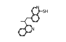 CC(Cc1cccc2c(S)nccc12)c1cncc2ccccc12